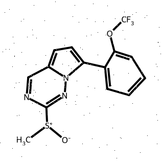 C[S+]([O-])c1ncc2ccc(-c3ccccc3OC(F)(F)F)n2n1